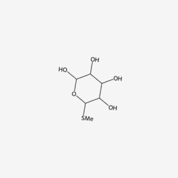 CSC1OC(O)C(O)C(O)C1O